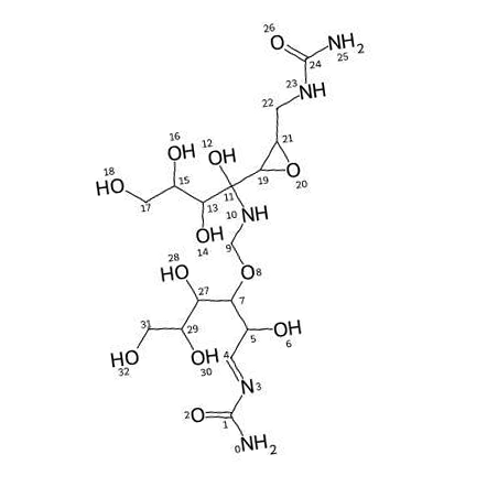 NC(=O)N=CC(O)C(OCNC(O)(C(O)C(O)CO)C1OC1CNC(N)=O)C(O)C(O)CO